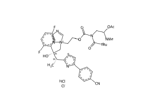 CNC(CN(C(=O)OCC[N+]1(C[C@](O)(c2cc(F)ccc2F)[C@@H](C)c2nc(-c3ccc(C#N)cc3)cs2)C=NC=N1)C(=O)C(C)(C)C)OC(C)=O.Cl.[Cl-]